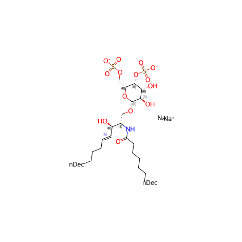 CCCCCCCCCCCCC/C=C/[C@@H](O)[C@H](CO[C@@H]1O[C@H](COS(=O)(=O)[O-])[C@H](OS(=O)(=O)[O-])[C@H](O)[C@H]1O)NC(=O)CCCCCCCCCCCCCCC.[Na+].[Na+]